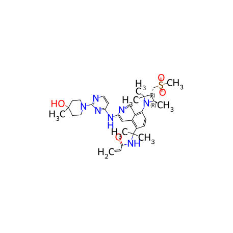 C=CC(=O)NC(C)(C)c1ccc(N2[C@H](C)[C@@H](CS(C)(=O)=O)C2(C)C)c2cnc(Nc3ccnc(N4CCC(C)(O)CC4)n3)cc12